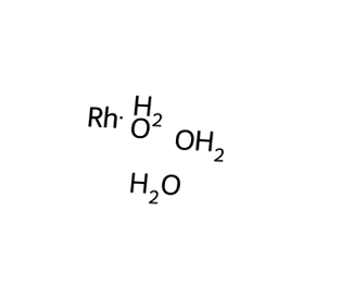 O.O.O.[Rh]